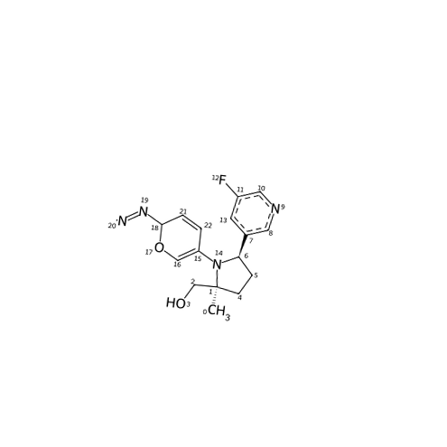 C[C@@]1(CO)CC[C@H](c2cncc(F)c2)N1C1=COC(N=[N])C=C1